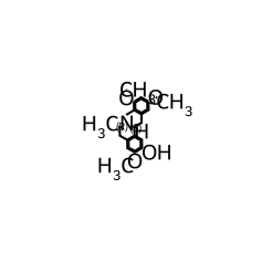 COc1cc2c(c(OC)c1)CN1[C@H](C)Cc3cc(OC)c(O)cc3[C@@H]1C2